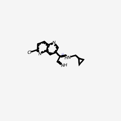 N=C/C(=C\NCC1CC1)c1cnc2ccc(Cl)nc2c1